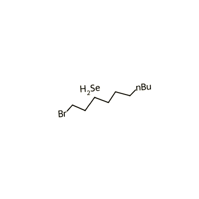 CCCCCCCCCCBr.[SeH2]